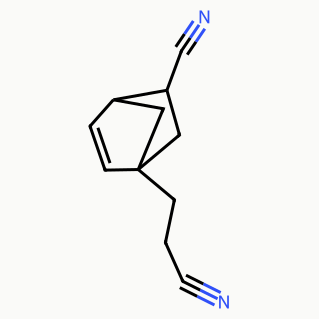 N#CCCC12C=CC(C1)C(C#N)C2